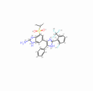 CC(C)S(=O)(=O)c1cc(-c2nc(-c3c(F)cccc3C(F)(F)F)[nH]c2-c2ccccc2)cc2[nH]c(N)nc12